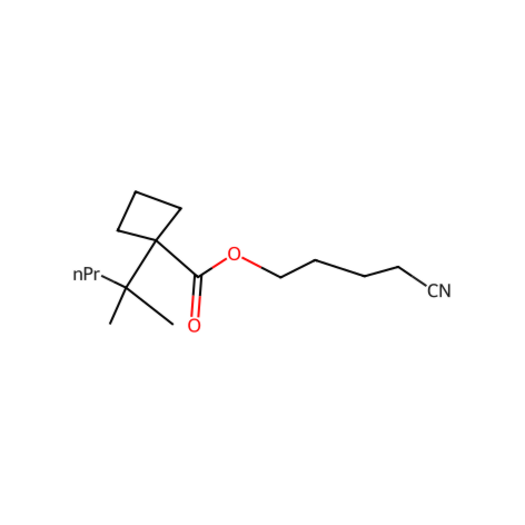 CCCC(C)(C)C1(C(=O)OCCCCC#N)CCC1